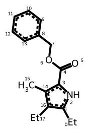 CCc1[nH]c(C(=O)OCc2ccccc2)c(C)c1CC